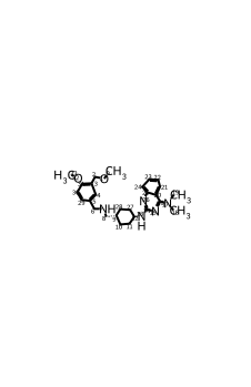 COCc1cc(CNC[C@H]2CC[C@@H](Nc3nc(N(C)C)c4ccccc4n3)CC2)ccc1OC